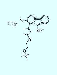 CC=c1ccc2c(c1C1=CC(OCCO[Si](C)(C)C)=CC1)[C]([Zr+2])=c1ccccc1=2.[Cl-].[Cl-]